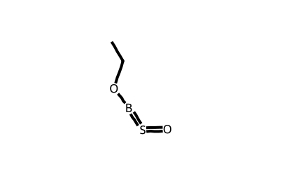 CCOB=S=O